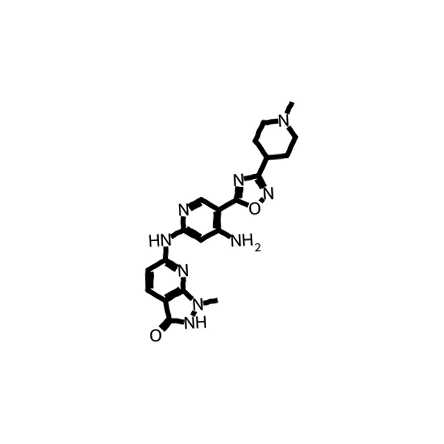 CN1CCC(c2noc(-c3cnc(Nc4ccc5c(=O)[nH]n(C)c5n4)cc3N)n2)CC1